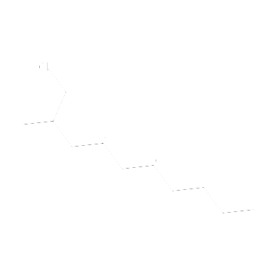 CCCCCCCC[C](C)CCl